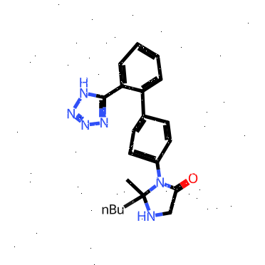 CCCCC1(C)NCC(=O)N1c1ccc(-c2ccccc2-c2nnn[nH]2)cc1